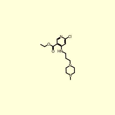 CCOC(=O)c1cnc(Cl)cc1NCCCN1CCN(C)CC1